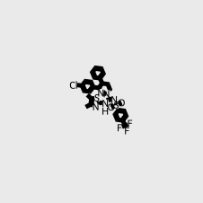 Cc1nc(N/C(=N\S(=O)(=O)c2ccc(C(F)(F)F)cc2)N2CCC(c3ccccc3)C(c3ccc(Cl)cc3)=N2)sc1C